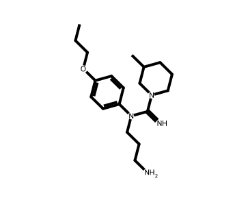 CCCOc1ccc(N(CCCN)C(=N)N2CCCC(C)C2)cc1